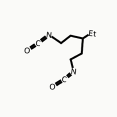 CCC(CCN=C=O)CCN=C=O